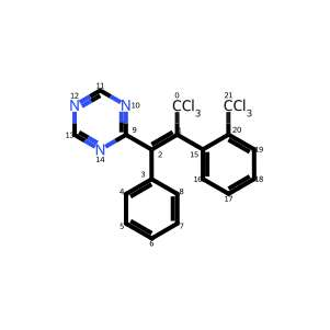 ClC(Cl)(Cl)C(=C(c1ccccc1)c1ncncn1)c1ccccc1C(Cl)(Cl)Cl